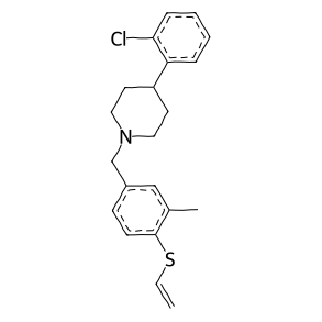 C=CSc1ccc(CN2CCC(c3ccccc3Cl)CC2)cc1C